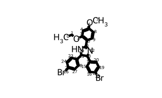 CCOc1cc(OC)ccc1C1=NC(c2ccc(Br)cc2)C(c2ccc(Br)cc2)N1